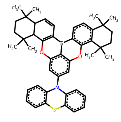 CC1(C)CCC(C)(C)c2c1ccc1c2Oc2cc(N3c4ccccc4Sc4ccccc43)cc3c2B1C1=C(O3)C2C(C=C1)C(C)(C)CCC2(C)C